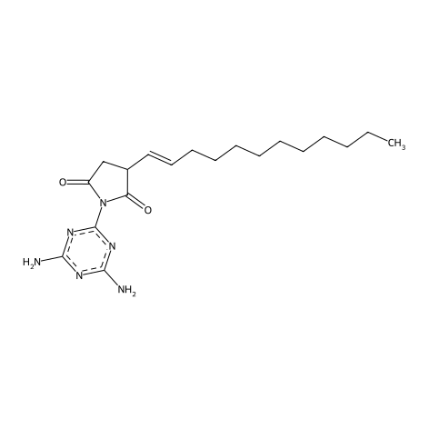 CCCCCCCCCCC=CC1CC(=O)N(c2nc(N)nc(N)n2)C1=O